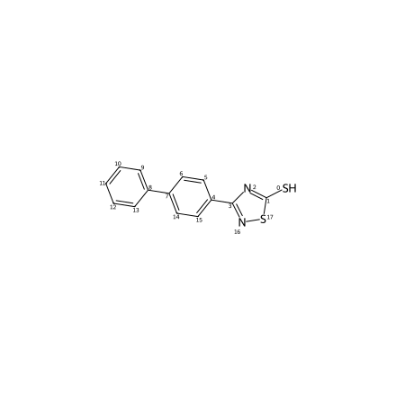 Sc1nc(-c2ccc(-c3ccccc3)cc2)ns1